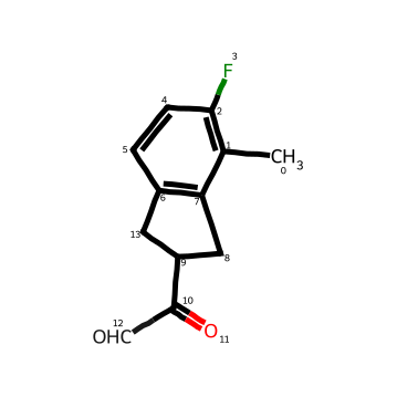 Cc1c(F)ccc2c1CC(C(=O)C=O)C2